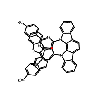 CC(C)(C)c1ccc(-c2cc(-n3c4ccccc4c4ccc5c6ccccc6n(-c6nc(-c7ccccc7)nc(-c7ccc(C#N)cc7)n6)c5c43)cc3c2oc2ccccc23)cc1